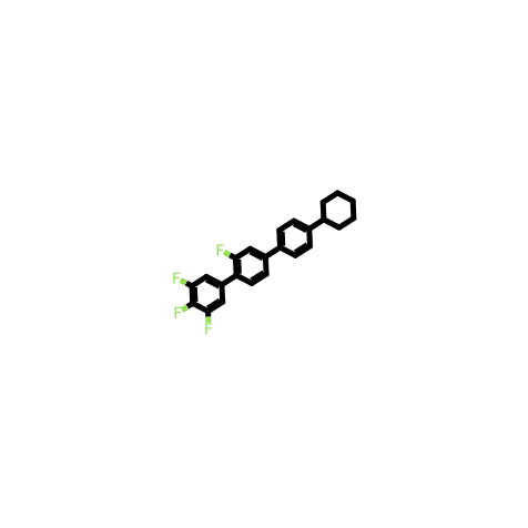 Fc1cc(-c2ccc(C3CCCCC3)cc2)ccc1-c1cc(F)c(F)c(F)c1